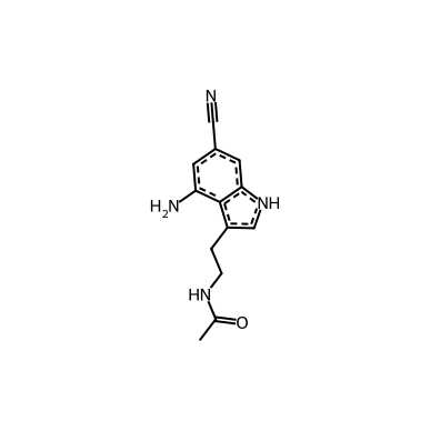 CC(=O)NCCc1c[nH]c2cc(C#N)cc(N)c12